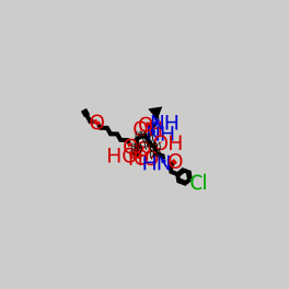 C#CCOCCCCCCO[C@]1(C(=O)O)C[C@H](O)[C@@H](NC(=O)NC2CC2)[C@H]([C@H](O)[C@H](O)CNC(=O)Cc2ccc(Cl)cc2)O1